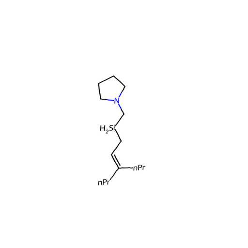 CCCC(=CC[SiH2]CN1CCCC1)CCC